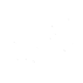 O=C1NSc2ccccc2C1=Cc1c[nH]c2ccccc12